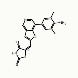 Cc1cc(-c2cncc3cc(/C=C4/SC(=S)NC4=O)oc23)cc(C)c1N